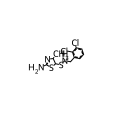 CC1N=C(N)SC1SNCc1cccc(Cl)c1Cl